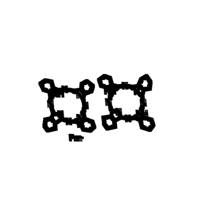 [Pm].c1ccc2c(c1)-c1nc-2nc2[nH]c(nc3nc(nc4[nH]c(n1)c1ccccc41)-c1ccccc1-3)c1ccccc21.c1ccc2c(c1)-c1nc-2nc2[nH]c(nc3nc(nc4[nH]c(n1)c1ccccc41)-c1ccccc1-3)c1ccccc21